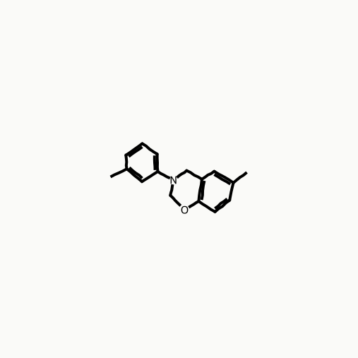 Cc1cccc(N2COc3ccc(C)cc3C2)c1